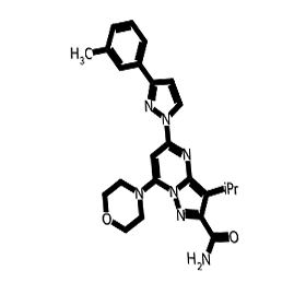 Cc1cccc(-c2ccn(-c3cc(N4CCOCC4)n4nc(C(N)=O)c(C(C)C)c4n3)n2)c1